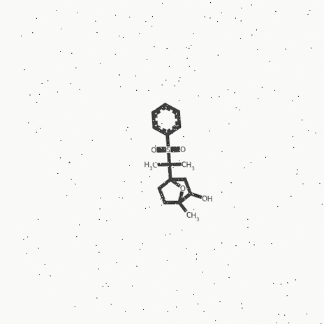 CC12CCC(C(C)(C)S(=O)(=O)c3ccccc3)(CC1O)O2